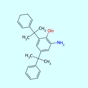 CC(C)(C1=CCCC=C1)c1cc(C(C)(C)c2ccccc2)cc(N)c1O